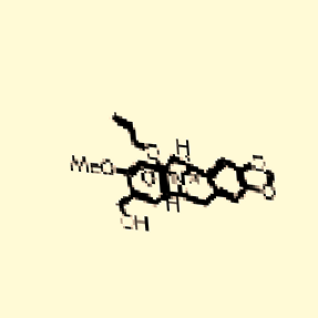 C=CCOC(=O)N1[C@H]2Cc3cc4c(cc3[C@@H]1Cc1cc(OC)c(CO)cc12)OCO4